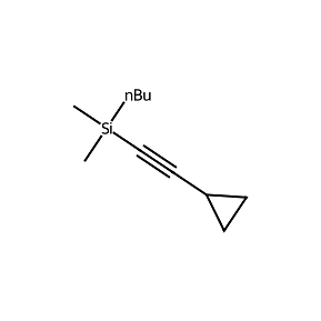 CCCC[Si](C)(C)C#CC1CC1